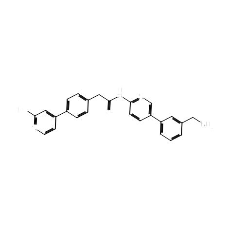 Cc1cc(-c2ccc(CC(=O)Nc3ccc(-c4cccc(CN)c4)cn3)cc2)ccn1